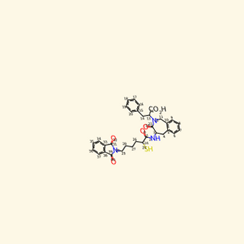 O=C(NC1Cc2ccccc2CN(C(Cc2ccccc2)C(=O)O)C1=O)C(S)CCCCN1C(=O)c2ccccc2C1=O